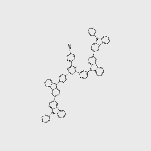 N#Cc1ccc(-c2nc(-c3ccc(-n4c5ccccc5c5cc(-c6ccc7c(c6)c6ccccc6n7-c6ccccc6)ccc54)cc3)cc(-c3cccc(-n4c5ccccc5c5cc(-c6ccc7c(c6)c6ccccc6n7-c6ccccc6)ccc54)c3)n2)cc1